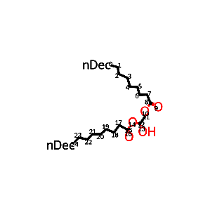 CCCCCCCCCCCCCCCCCC(=O)OCC(O)OC(=O)CCCCCCCCCCCCCCCCC